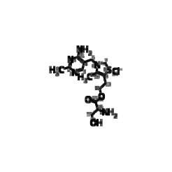 Cc1ncc(C[n+]2csc(CCOC(=O)[C@@H](N)CO)c2C)c(N)n1.[Cl-]